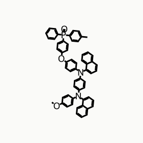 COc1ccc(N(c2ccc(N(c3ccc(Oc4ccc(P(=O)(c5ccccc5)c5ccc(C)cc5)cc4)cc3)c3cccc4ccccc34)cc2)c2cccc3ccccc23)cc1